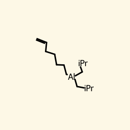 C=CCCCC[CH2][Al]([CH2]C(C)C)[CH2]C(C)C